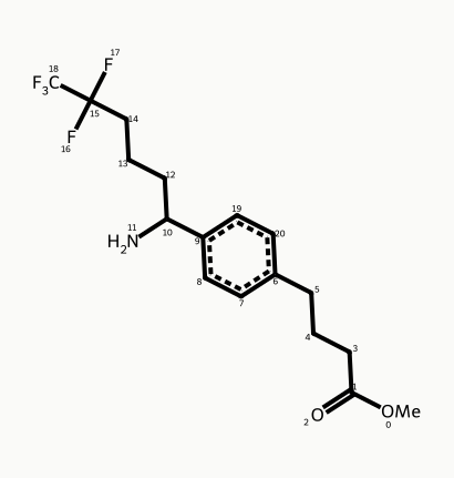 COC(=O)CCCc1ccc(C(N)CCCC(F)(F)C(F)(F)F)cc1